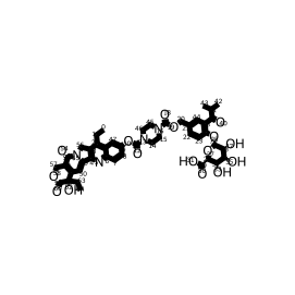 CCc1c2c(nc3ccc(OC(=O)N4CCN(C(=O)OCc5ccc(O[C@@H]6O[C@H](C(=O)O)[C@@H](O)[C@H](O)[C@H]6O)c(C(=O)C(C)C)c5)CC4)cc13)-c1cc3c(c(=O)n1C2)COC(=O)[C@]3(O)CC